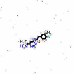 C=C(N)c1cc(NC(=O)Cc2ccc(F)c(C)c2)ncn1